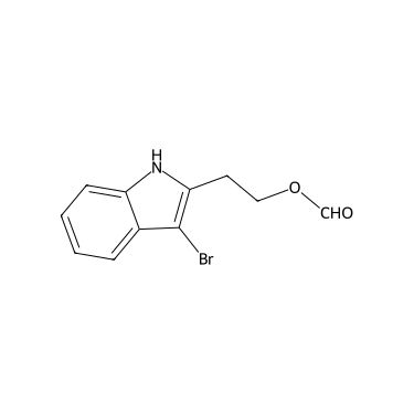 O=COCCc1[nH]c2ccccc2c1Br